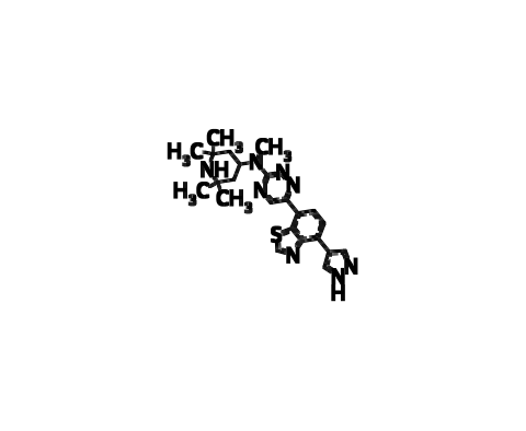 CN(c1ncc(-c2ccc(-c3cn[nH]c3)c3ncsc23)nn1)C1CC(C)(C)NC(C)(C)C1